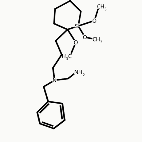 COC1(CCCN(CN)Cc2ccccc2)CCCC[Si]1(OC)OC